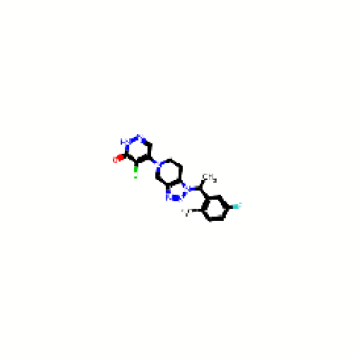 CC(c1cc(F)ccc1C(F)(F)F)n1nnc2c1CCN(c1cn[nH]c(=O)c1Cl)C2